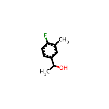 Cc1cc(C(C)O)ccc1F